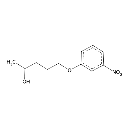 CC(O)CCCOc1cccc([N+](=O)[O-])c1